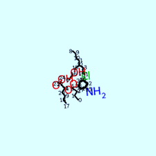 CCCC(=O)OCC.CCCCC(CC)CO.CCCCCC(=O)O.Nc1cccc(Cl)c1